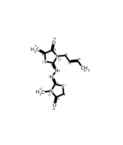 C=C1SC(=NN=C2SCC(=O)N2C)N(CC=CC)C1=O